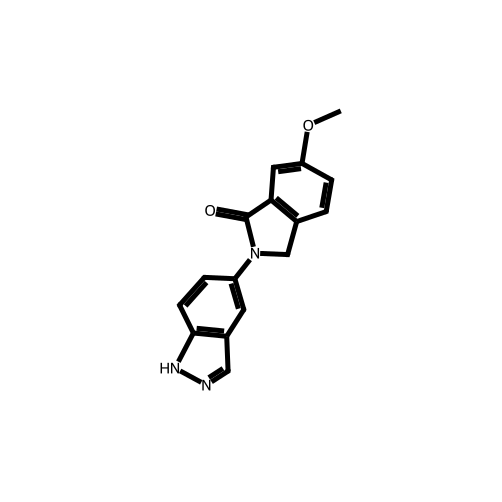 COc1ccc2c(c1)C(=O)N(c1ccc3[nH]ncc3c1)C2